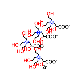 O=C([O-])C(O)C[N+](CCO)(CCO)CCO.O=C([O-])C(O)C[N+](CCO)(CCO)CCO.O=C([O-])C(O)C[N+](CCO)(CCO)CCO.O=C([O-])C(O)C[N+](CCO)(CCO)CCO.[Zr]